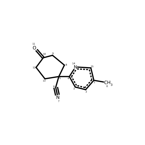 Cc1ccc(C2(C#N)CCC(=O)CC2)nc1